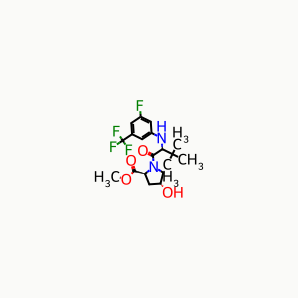 COC(=O)[C@@H]1C[C@@H](O)CN1C(=O)[C@@H](Nc1cc(F)cc(C(F)(F)F)c1)C(C)(C)C